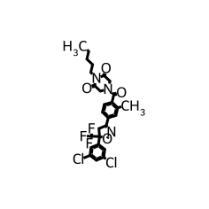 CCCCCN1C(=O)CN(C(=O)c2ccc(C3=NOC(c4cc(Cl)cc(Cl)c4)(C(F)(F)F)C3)cc2C)CC1=O